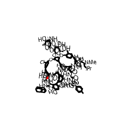 CN[C@H](CC(C)C)C(=O)N[C@H]1C(=O)N[C@@H](CC(=O)NC(=O)NS(=O)(=O)c2ccc(C)cc2)C(=O)N[C@H]2C(=O)N[C@H]3C(=O)N[C@H](C(=O)N[C@H](C(=O)NC4C5CC6CC(C5)CC4C6)c4cc(O)cc(O)c4-c4cc3ccc4O)[C@H](O)c3ccc(c(Cl)c3)Oc3cc2cc(c3O[C@@H]2O[C@H](CO)[C@@H](O)[C@H](O)[C@H]2O[C@H]2C[C@](C)(N)[C@H](O)[C@H](C)O2)Oc2ccc(cc2C)[C@H]1O